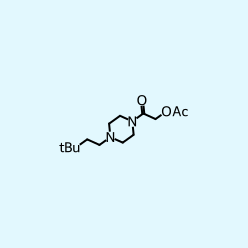 CC(=O)OCC(=O)N1CCN(CCC(C)(C)C)CC1